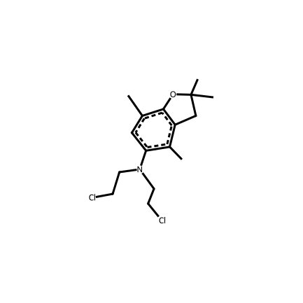 Cc1cc(N(CCCl)CCCl)c(C)c2c1OC(C)(C)C2